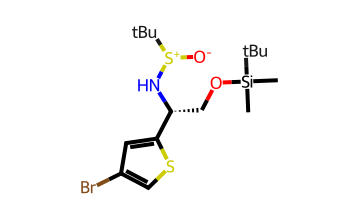 CC(C)(C)[S+]([O-])N[C@H](CO[Si](C)(C)C(C)(C)C)c1cc(Br)cs1